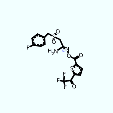 N/C(CS(=O)(=O)Cc1ccc(F)cc1)=N\OC(=O)c1ccc(C(=O)C(F)(F)F)s1